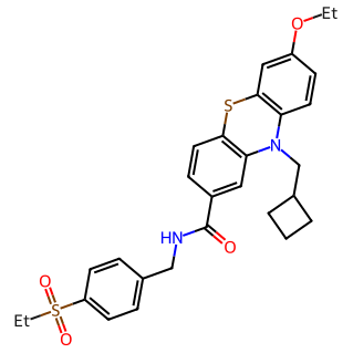 CCOc1ccc2c(c1)Sc1ccc(C(=O)NCc3ccc(S(=O)(=O)CC)cc3)cc1N2CC1CCC1